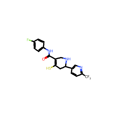 O=C(Nc1ccc(F)cc1)C1=C(S)CC(c2ccc(C(F)(F)F)nc2)NC1